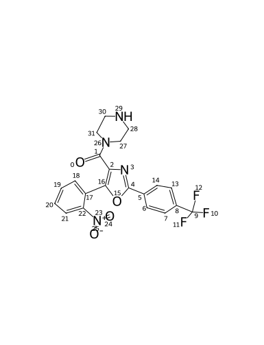 O=C(c1nc(-c2ccc(C(F)(F)F)cc2)oc1-c1ccccc1[N+](=O)[O-])N1CCNCC1